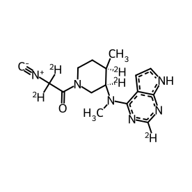 [2H]c1nc(N(C)[C@@]2([2H])CN(C(=O)C([2H])([2H])[N+]#[C-])CC[C@@]2([2H])C)c2cc[nH]c2n1